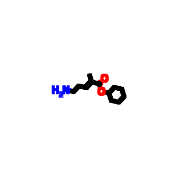 CC(=CCCN)C(=O)OC1CCCCC1